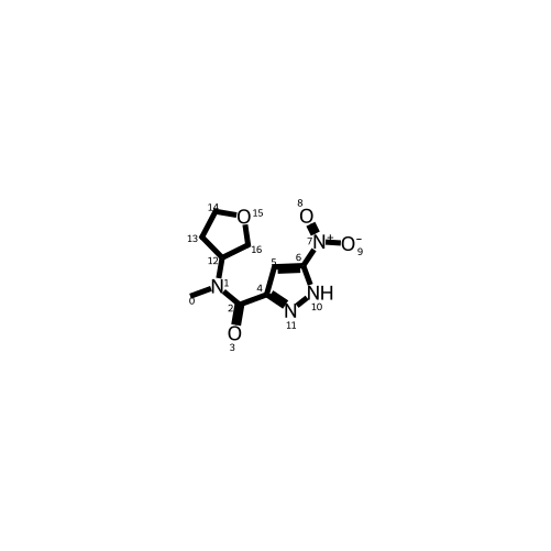 CN(C(=O)c1cc([N+](=O)[O-])[nH]n1)C1CCOC1